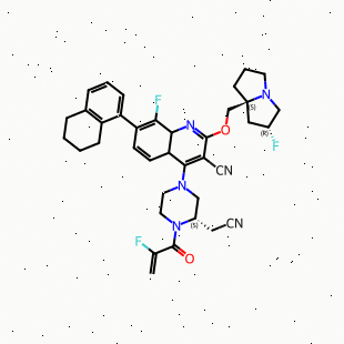 C=C(F)C(=O)N1CCN(C2=C(C#N)C(OC[C@@]34CCCN3C[C@H](F)C4)=NC3C(F)=C(c4cccc5c4CCCC5)C=CC23)C[C@@H]1CC#N